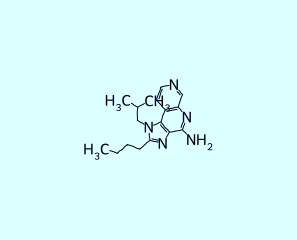 CCCCc1nc2c(N)nc3cnccc3c2n1CC(C)C